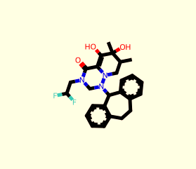 CC1CN2C(=C(O)C1(C)O)C(=O)N(CC(F)F)CN2C1c2ccccc2CCc2ccccc21